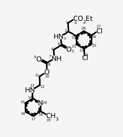 CCOC(=O)CC(NC(=O)CNC(=O)OCCNc1cccc(C)n1)c1cc(Cl)cc(Cl)c1